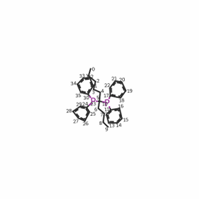 CCCCCC(CCCC)(P(c1ccccc1)c1ccccc1)P(c1ccccc1)c1ccccc1